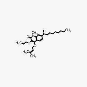 C=CCOc1c(OCC=C(C)C)c2ccc(NCCCCCCCC)cc2n(C)c1=O